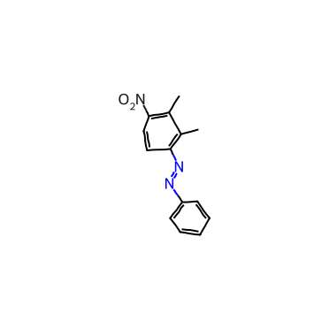 Cc1c(N=Nc2ccccc2)ccc([N+](=O)[O-])c1C